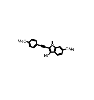 COc1ccc(C#Cc2c(C#N)c3ccc(OC)cc3n2C)cc1